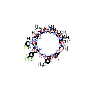 CC[C@H](C)[C@@H]1NC(=O)[C@H](CC(C)C)N(C)C(=O)C[C@@H](C(=O)N(C)C)N(C)C(=O)[C@H]([C@@H](C)CC)N(C)C(=O)[C@H](C(C)C)NC(=O)[C@H](CCN2CCCC(F)(F)C2)N(C)C(=O)[C@H](CCc2ccc(C(F)(F)F)c(Cl)c2)NC(=O)CN(C)C(=O)[C@H](Cc2ccc(C)cc2)N(C)C(=O)[C@@H]2CCN2C(=O)[C@H](C)N(C)C1=O